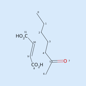 CCCCCC(C)=O.O=C(O)C=CC(=O)O